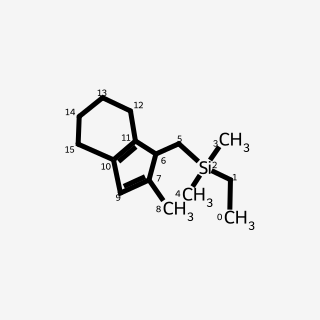 CC[Si](C)(C)CC1C(C)=CC2=C1CCCC2